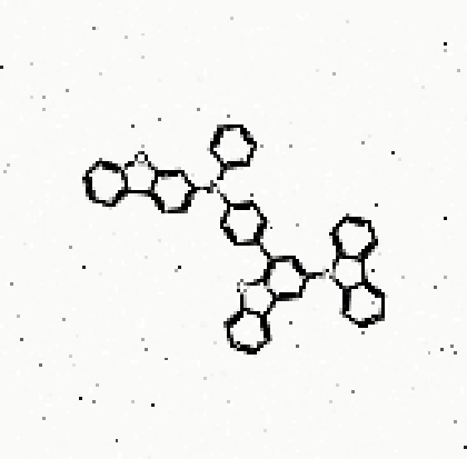 c1ccc(N(c2ccc(-c3cc(-n4c5ccccc5c5ccccc54)cc4c3oc3ccccc34)cc2)c2ccc3c(c2)oc2ccccc23)cc1